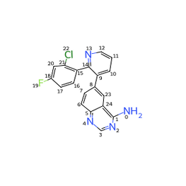 Nc1ncnc2ccc(-c3cccnc3-c3ccc(F)cc3Cl)cc12